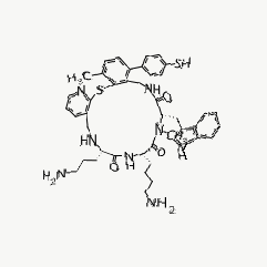 Cc1ccc(-c2ccc(S)cc2)c2c1Sc1ncccc1CN[C@@H](CCCN)C(=O)N[C@@H](CCCCN)C(=O)N(C)[C@@H](Cc1c[nH]c3ccccc13)C(=O)NC2